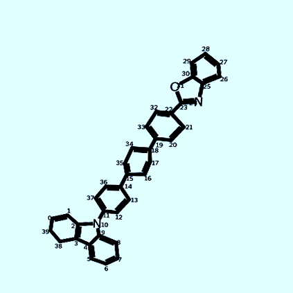 C1=Cc2c(c3ccccc3n2-c2ccc(-c3ccc(-c4ccc(-c5nc6ccccc6o5)cc4)cc3)cc2)CC1